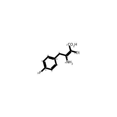 CCC(C(=O)O)=C(N)Cc1ccc(F)cc1